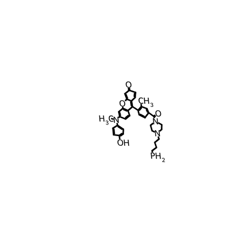 Cc1cc(C(=O)N2CCN(CCCCP)CC2)ccc1-c1c2ccc(=O)cc-2oc2cc(N(C)c3ccc(O)cc3)ccc12